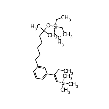 CC/C(=C\[Si](C)(C)C)c1cccc(CCCCCC(C)(C)O[Si](CC)(CC)CC)c1